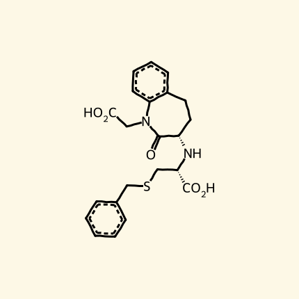 O=C(O)CN1C(=O)[C@@H](N[C@@H](CSCc2ccccc2)C(=O)O)CCc2ccccc21